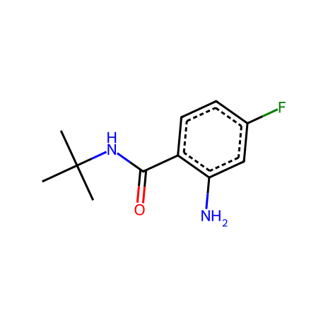 CC(C)(C)NC(=O)c1ccc(F)cc1N